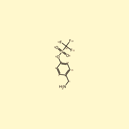 NCc1ccc(OS(=O)(=O)C(F)(F)F)cc1